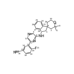 CC1(C)CC(CCNc2cncc(-c3cc(C#N)ccc3F)n2)(c2ccccc2)CCO1